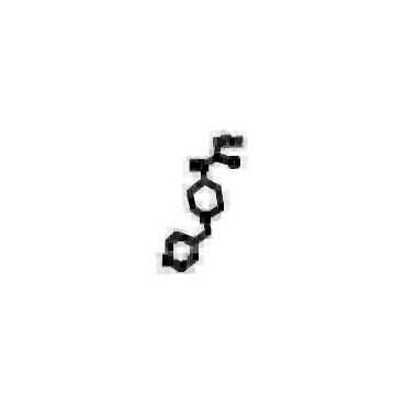 CCCCCCCCC(=O)NC1CCN(Cc2ccncc2)CC1